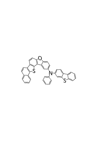 c1ccc(N(c2ccc3c(c2)sc2ccccc23)c2ccc3oc4ccc5c6ccc7ccccc7c6sc5c4c3c2)cc1